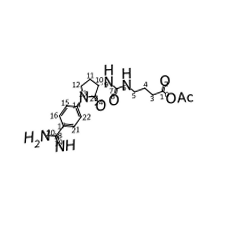 CC(=O)OC(=O)CCCNC(=O)N[C@H]1CCN(c2ccc(C(=N)N)cc2)C1=O